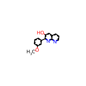 COc1cccc(-c2nc3ncccc3cc2O)c1